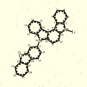 In1c2ccccc2c2c3c4ccccc4n(-c4ccc5c(c4)oc4ccccc45)c3ccc21